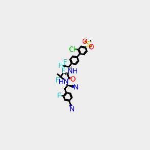 CC(C)(F)C[C@H](N[C@@H](c1ccc(-c2ccc(S(C)(=O)=O)cc2Cl)cc1)C(F)(F)F)C(=O)NC(C#N)Cc1ccc(C#N)cc1F